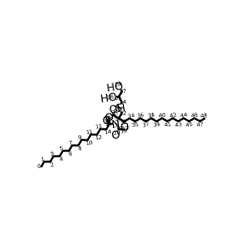 CCCCCCCCCCCCCCCC(=O)N(C(C)=O)C(CSCC(O)CO)(C(=O)O)C(=O)CCCCCCCCCCCCCCC